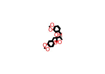 O=C1OC[C@H](Cc2ccc3c(c2)OCO3)[C@@]1(O)Cc1ccc2c(c1)OCO2